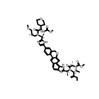 C=C(CC)[C@@H](CC)N(C(=O)[C@H](C)NC(=O)OC)[C@@H](C)c1nc2ccc3cc4c(cc3c2[nH]1)OCc1cc(-c2cnc([C@H](C)N(C[C@H](C)COC)C(=O)[C@@H](NC(=O)OC)C3CCOCC3)[nH]2)ccc1-4